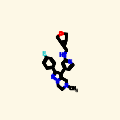 CN1CCn2nc(-c3ccc(F)cc3)c(-c3ccnc(NCC4C5COCC45)c3)c2C1